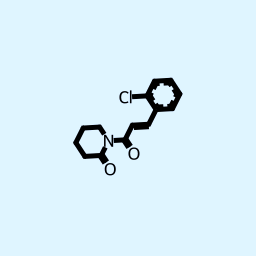 O=C(C=Cc1ccccc1Cl)N1CCCCC1=O